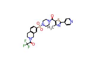 Cc1nc(-c2ccncc2)sc1C(=O)N1CCN(S(=O)(=O)c2ccc3c(c2)CN(C(=O)C(F)(F)F)CC3)CC1